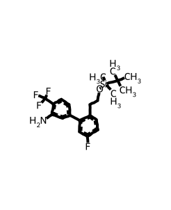 CC(C)(C)[Si](C)(C)OCCc1ccc(F)cc1-c1ccc(C(F)(F)F)c(N)c1